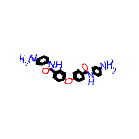 Nc1ccc(NC(=O)c2ccc(Oc3ccc(C(=O)Nc4ccc(N)cc4)cc3)cc2)cc1